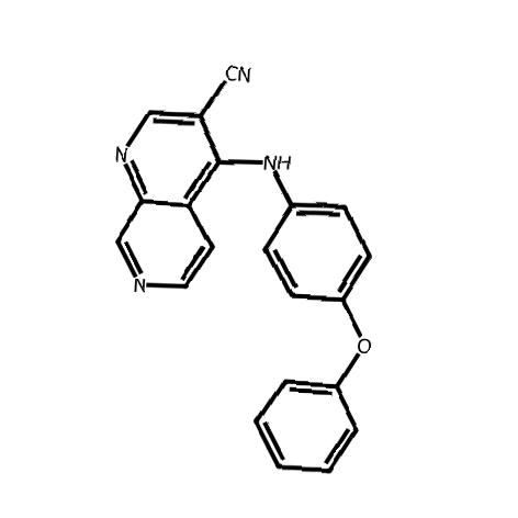 N#Cc1cnc2cnccc2c1Nc1ccc(Oc2ccccc2)cc1